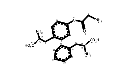 NCC(=O)Oc1ccc(C[C@H](N)C(=O)O)cc1.N[C@@H](Cc1ccccc1)C(=O)O